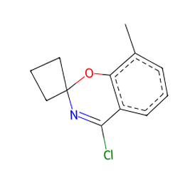 Cc1cccc2c1OC1(CCC1)N=C2Cl